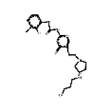 Cc1cccc(NC(=O)Nc2nc(=O)c(CCN3CC[C@@H](NCCCN)C3)c[nH]2)c1Cl